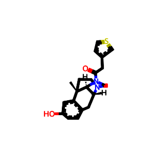 CN1CC[C@@]2(C)c3cc(O)ccc3C[C@@H]1[C@@H]2N(C)C(=O)Cc1ccsc1